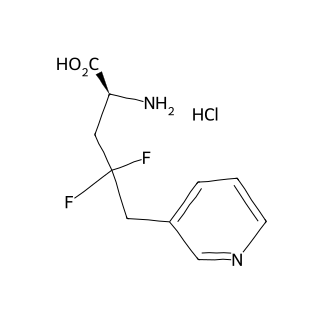 Cl.N[C@@H](CC(F)(F)Cc1cccnc1)C(=O)O